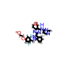 COCCOc1cc(F)c(Cn2nc(-c3nc4c(c(Nc5ccnc(C)n5)n3)COCC4)c3ccccc32)c(F)c1